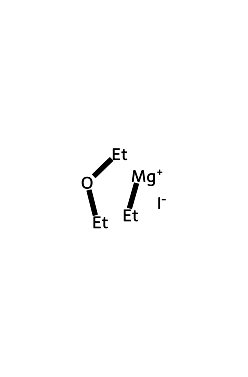 CCOCC.C[CH2][Mg+].[I-]